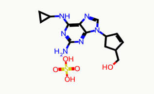 Nc1nc(NC2CC2)c2ncn(C3C=CC(CO)C3)c2n1.O=S(=O)(O)O